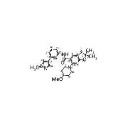 COC1CCN(c2nc3c(cc2C(=O)Nc2cccc(-c4cnn(C)c4)n2)CC(C)(C)O3)CC1